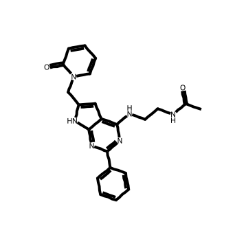 CC(=O)NCCNc1nc(-c2ccccc2)nc2[nH]c(Cn3ccccc3=O)cc12